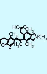 C/C(=C\c1cc(F)c2c(c1C)CCCO2)c1c(C)c2c(c(C)c1CC(=O)O)CN(C)C2